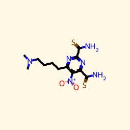 CN(C)CCCCc1nc(C(N)=S)nc(C(N)=S)c1[N+](=O)[O-]